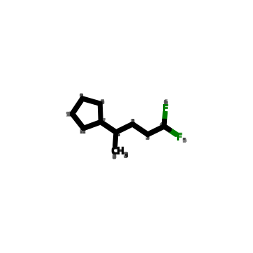 CC(CCC(F)F)C1CCCC1